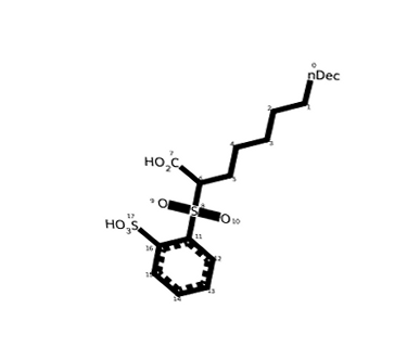 CCCCCCCCCCCCCCCC(C(=O)O)S(=O)(=O)c1ccccc1S(=O)(=O)O